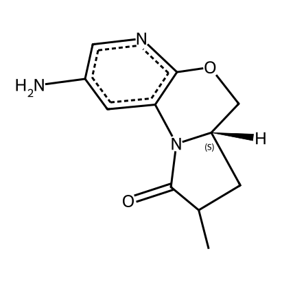 CC1C[C@H]2COc3ncc(N)cc3N2C1=O